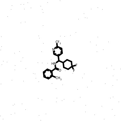 Cc1ccccc1C(=O)NC(c1ccc(C(F)(F)F)nc1)C1CCC(F)(F)CC1